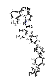 Cc1cccc(C)c1N1C(=O)CS/C1=N\C(=O)NC(C)Cc1ccc(-c2ncn(-c3ccc(OC(F)(F)F)cc3)n2)cc1